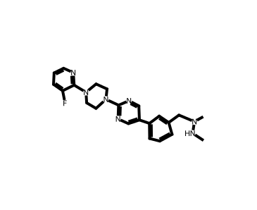 CNN(C)Cc1cccc(-c2cnc(N3CCN(c4ncccc4F)CC3)nc2)c1